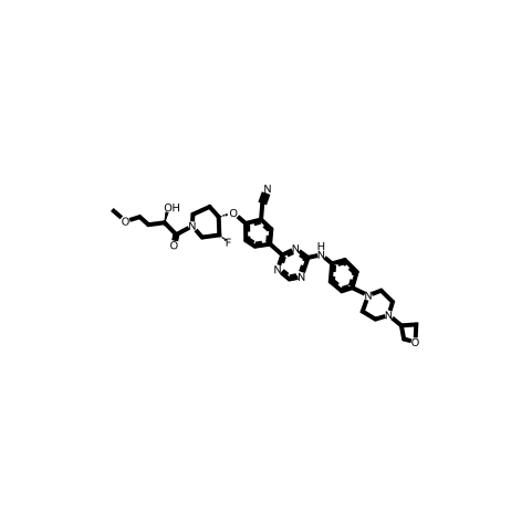 COCC[C@@H](O)C(=O)N1CC[C@H](Oc2ccc(-c3ncnc(Nc4ccc(N5CCN(C6COC6)CC5)cc4)n3)cc2C#N)[C@H](F)C1